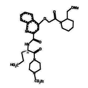 CCOC(=O)N1CCN(C(=O)[C@H](CCC(=O)O)NC(=O)c2cc(OCC(=O)N3CCCCC3COC)c3ccccc3n2)CC1